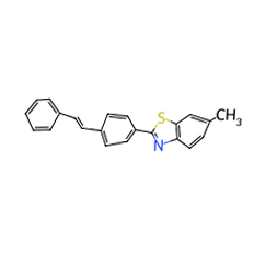 Cc1ccc2nc(-c3ccc(C=Cc4ccccc4)cc3)sc2c1